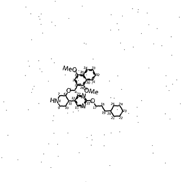 COc1cc(COC2CNCCC2c2cnc(OCCCC3CCCCC3)nc2)c(OC)c2ccccc12